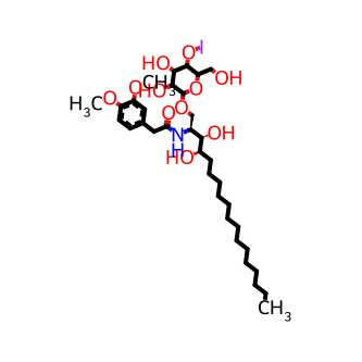 CCCCCCCCCCCCCC[C@@H](O)[C@@H](O)[C@H](COC1OC(CO)C(OI)C(O)C1O)NC(=O)Cc1ccc(OC)c(OC)c1